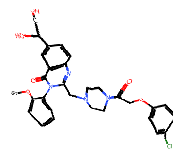 CC(C)Oc1ccccc1-n1c(CN2CCN(C(=O)COc3ccc(Cl)cc3)CC2)nc2ccc(C(O)CO)cc2c1=O